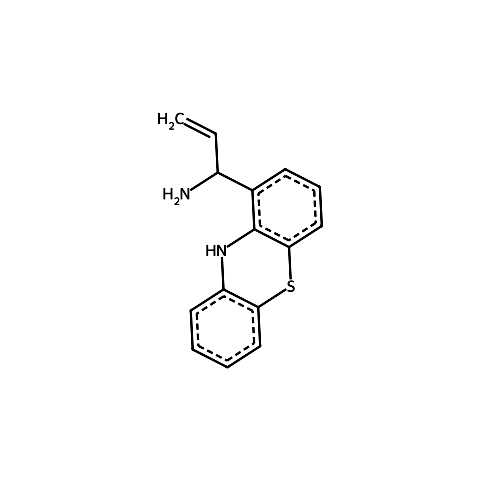 C=CC(N)c1cccc2c1Nc1ccccc1S2